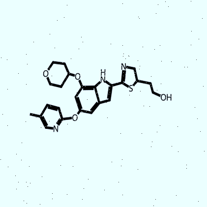 Cc1ccc(Oc2cc(OC3CCOCC3)c3[nH]c(C4=NCC(CCO)S4)cc3c2)nc1